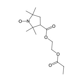 CCC(=O)OCCOC(=O)C1CC(C)(C)N([O])C1(C)C